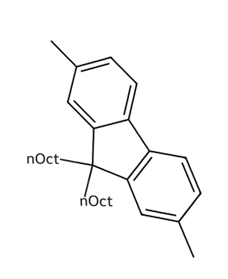 CCCCCCCCC1(CCCCCCCC)c2cc(C)ccc2-c2ccc(C)cc21